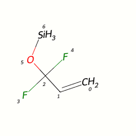 C=CC(F)(F)O[SiH3]